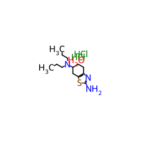 CCCN(CCC)C1CCc2nc(N)sc2C1.Cl.Cl.O